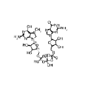 CN1CN([C@@H]2O[C@H](COP(=O)(O)OP(=O)(O)OP(=O)(O)OCC3OC(n4cnc5c(=O)[nH]c(N)nc54)C(O)C3O)C(O)C2O)c2nc(N)nc(O)c21